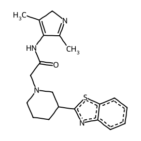 CC1=NCC(C)=C1NC(=O)CN1CCCC(c2nc3ccccc3s2)C1